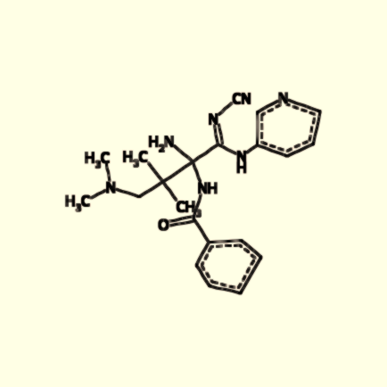 CN(C)CC(C)(C)C(N)(NC(=O)c1ccccc1)C(=NC#N)Nc1cccnc1